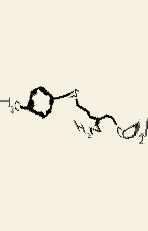 Cc1ccc(SCCC(N)CC(=O)O)cc1